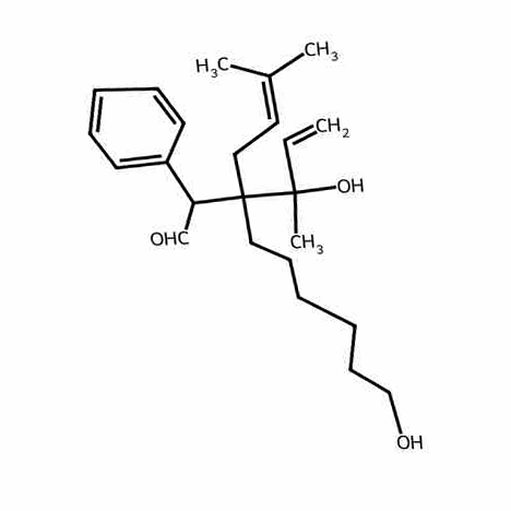 C=CC(C)(O)C(CC=C(C)C)(CCCCCCO)C(C=O)c1ccccc1